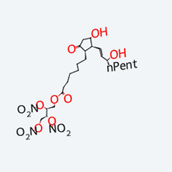 CCCCC[C@H](O)/C=C/[C@@H]1[C@H](O)CC(=O)[C@@H]1CCCCCCC(=O)OC[C@H](O[N+](=O)[O-])[C@H](CO[N+](=O)[O-])O[N+](=O)[O-]